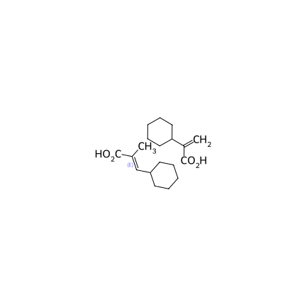 C/C(=C\C1CCCCC1)C(=O)O.C=C(C(=O)O)C1CCCCC1